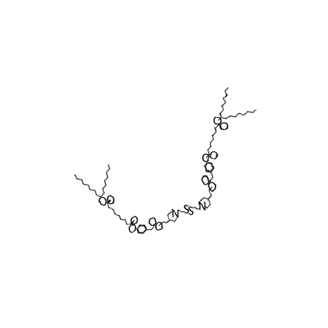 CCCCCCCCC(CCCCCCCC)OC(=O)CCCCCCCC(=O)Oc1ccc(CC(=O)OCCC2CCN(CCSSCCN3CCC(CCOC(=O)Cc4ccc(OC(=O)CCCCCCCC(=O)OC(CCCCCCCC)CCCCCCCC)cc4)CC3)CC2)cc1